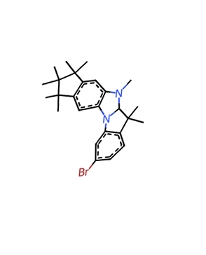 CN1c2cc3c(cc2N2c4cc(Br)ccc4C(C)(C)C12)C(C)(C)C(C)(C)C3(C)C